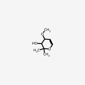 COC1C=COC(C)(C)C1O